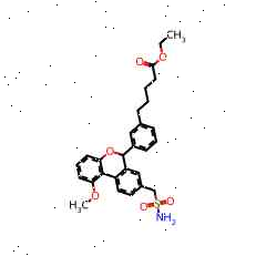 CCOC(=O)CCCCc1cccc(C2Oc3cccc(OC)c3-c3ccc(CS(N)(=O)=O)cc32)c1